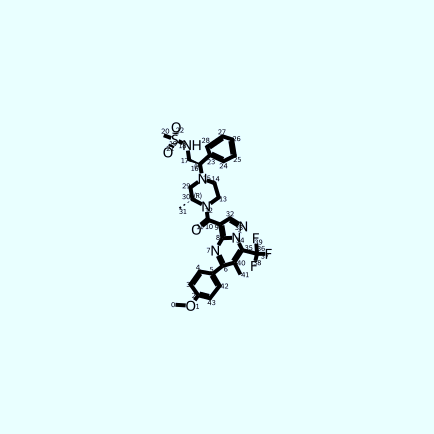 COc1ccc(-c2nc3c(C(=O)N4CCN([C@@H](CNS(C)(=O)=O)c5ccccc5)C[C@H]4C)cnn3c(C(F)(F)F)c2C)cc1